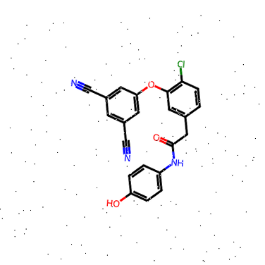 N#Cc1cc(C#N)cc(Oc2cc(CC(=O)Nc3ccc(O)cc3)ccc2Cl)c1